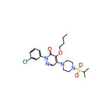 CCCCOc1c(N2CCN(S(=O)(=O)C(C)C)CC2)cnn(-c2cccc(Cl)c2)c1=O